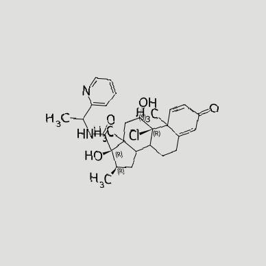 CC(NC(=O)[C@@]1(O)[C@H](C)CC2C3CCC4=CC(=O)C=CC4(C)[C@@]3(Cl)[C@@H](O)CC21C)c1ccccn1